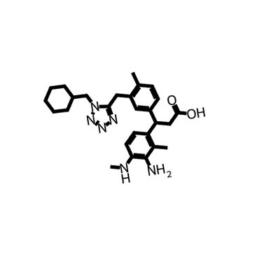 CNc1ccc(C(CC(=O)O)c2ccc(C)c(Cc3nnnn3CC3CCCCC3)c2)c(C)c1N